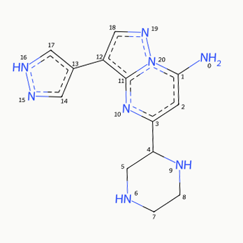 Nc1cc(C2CNCCN2)nc2c(-c3cn[nH]c3)cnn12